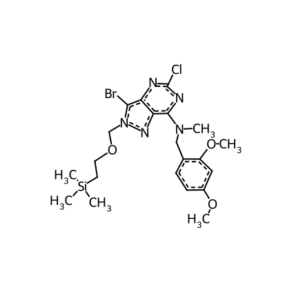 COc1ccc(CN(C)c2nc(Cl)nc3c(Br)n(COCC[Si](C)(C)C)nc23)c(OC)c1